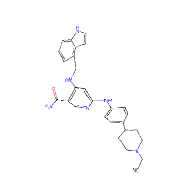 N#CCN1CCC(c2ccc(Nc3cc(NCc4cccc5[nH]ccc45)c(C(N)=O)cn3)cc2)CC1